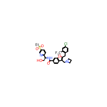 CCS(=O)(=O)c1ccc([C@H](CO)NC(=O)c2ccc3c(CN4CCC4)c(Cc4ccc(Cl)cc4C(F)(F)F)oc3c2)nc1